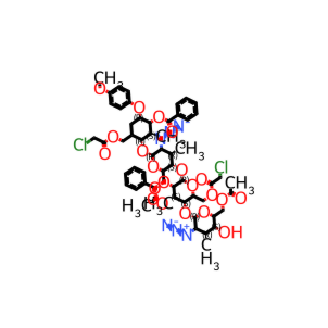 COc1ccc(O[C@@H]2CC(COC(=O)CCl)[C@@H](O[C@@H]3OC(COC(C)=O)[C@@H](O[C@@H]4OC(COC(=O)CCl)[C@@H](O[C@@H]5OC(COC(C)=O)[C@@H](O)[C@H](C)C5N=[N+]=[N-])[C@H](C)C4OC(=O)c4ccccc4)[C@H](C)C3N=[N+]=[N-])[C@H](C)C2OC(=O)c2ccccc2)cc1